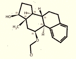 C[C@]12C[C@H](OCCl)[C@@H]3c4cc[c]cc4CC[C@H]3[C@@H]1CC[C@@H]2O